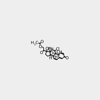 CC(=O)OCC(=O)[C@@]1(O)CC[C@H]2[C@@H]3C=CC4=CC(=O)C=C[C@]4(C)[C@@]3(Cl)C(Cl)C[C@@]21C